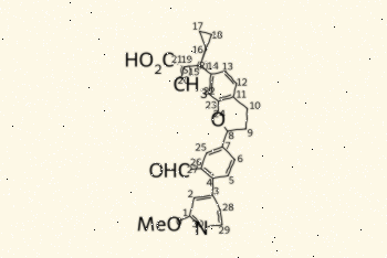 COc1cc(-c2ccc(C3CCc4ccc([C@H](C5CC5)[C@H](C)C(=O)O)cc4O3)cc2C=O)ccn1